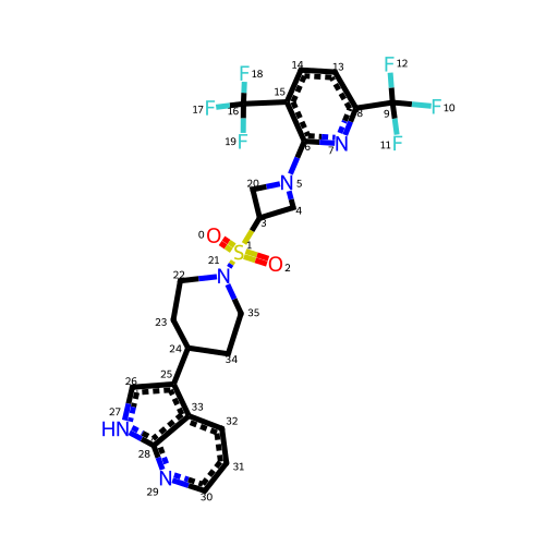 O=S(=O)(C1CN(c2nc(C(F)(F)F)ccc2C(F)(F)F)C1)N1CCC(c2c[nH]c3ncccc23)CC1